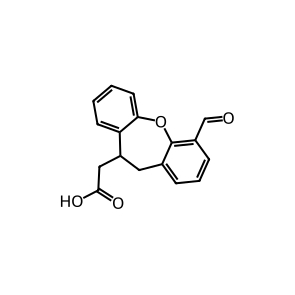 O=Cc1cccc2c1Oc1ccccc1C(CC(=O)O)C2